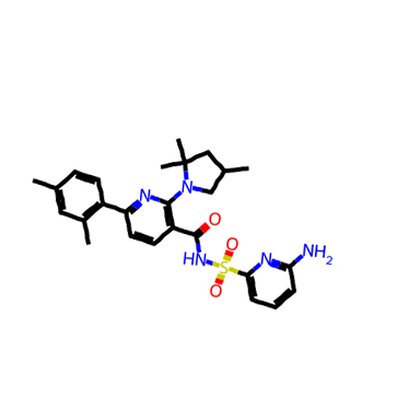 Cc1ccc(-c2ccc(C(=O)NS(=O)(=O)c3cccc(N)n3)c(N3CC(C)CC3(C)C)n2)c(C)c1